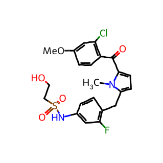 COc1ccc(C(=O)c2ccc(Cc3ccc(NS(=O)(=O)CCO)cc3F)n2C)c(Cl)c1